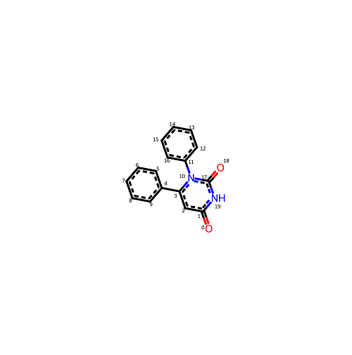 O=c1cc(-c2ccccc2)n(-c2ccccc2)c(=O)[nH]1